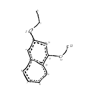 CCOc1cc2ccccc2c(OF)n1